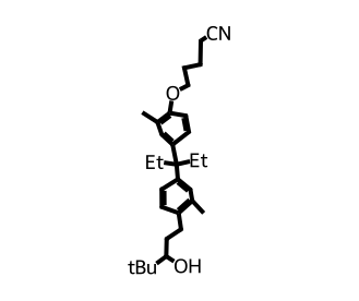 CCC(CC)(c1ccc(CCC(O)C(C)(C)C)c(C)c1)c1ccc(OCCCCC#N)c(C)c1